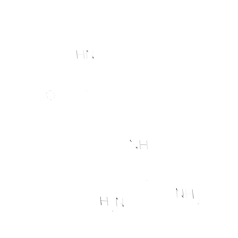 N=C(N)N.O=C1CCCCCN1